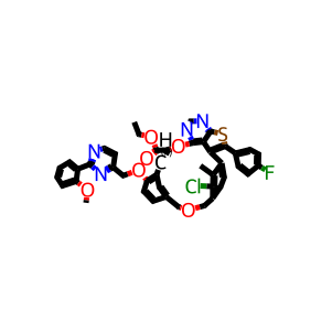 CCOC(=O)[C@H]1Cc2cc(ccc2OCc2ccnc(-c3ccccc3OC)n2)COCc2ccc(c(C)c2Cl)-c2c(-c3ccc(F)cc3)sc3ncnc(c23)O1